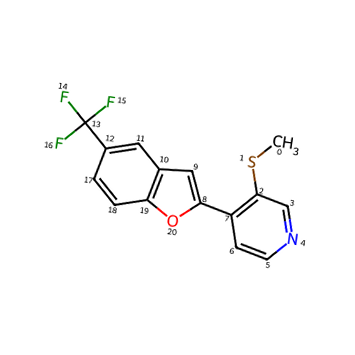 CSc1cnccc1-c1cc2cc(C(F)(F)F)ccc2o1